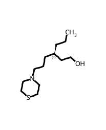 CCC[C@@H](CCO)CCCN1CCSCC1